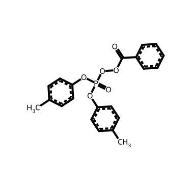 Cc1ccc(OP(=O)(OOC(=O)c2ccccc2)Oc2ccc(C)cc2)cc1